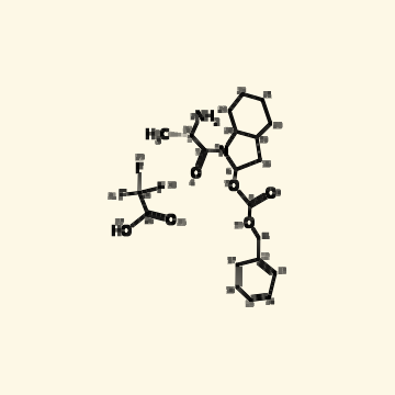 C[C@H](N)C(=O)N1C(OC(=O)OCc2ccccc2)CC2CCCCC21.O=C(O)C(F)(F)F